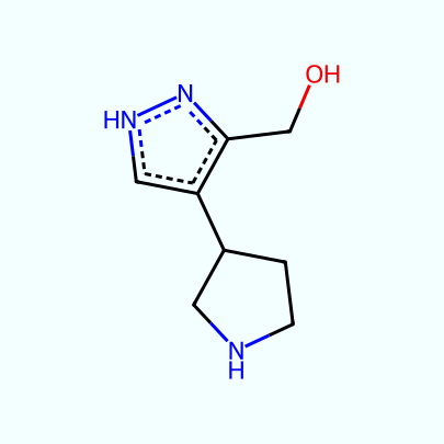 OCc1n[nH]cc1C1CCNC1